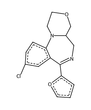 Clc1ccc2c(c1)C(c1ccco1)=NCC1COCCN21